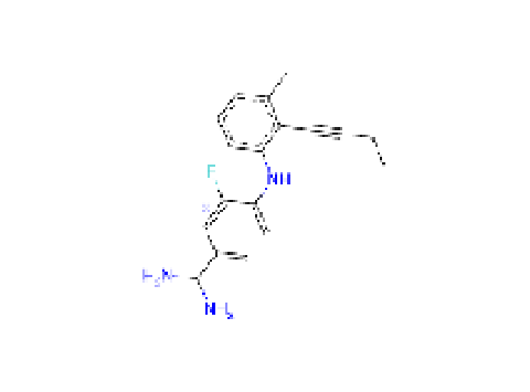 C=C(Nc1cccc(C)c1C#CCC)/C(F)=C\C(=C)C(N)N